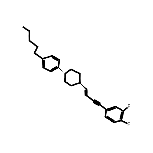 CCCCCc1ccc([C@H]2CC[C@H](/C=C/C#Cc3ccc(F)c(F)c3)CC2)cc1